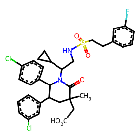 CC1(CC(=O)O)CC(c2cccc(Cl)c2)C(c2ccc(Cl)cc2)N(C(CNS(=O)(=O)CCc2cccc(F)c2)C2CC2)C1=O